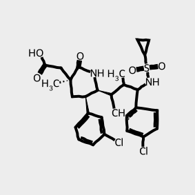 CC(C(NS(=O)(=O)C1CC1)c1ccc(Cl)cc1)C(C)[C@@H]1NC(=O)[C@](C)(CC(=O)O)C[C@@H]1c1cccc(Cl)c1